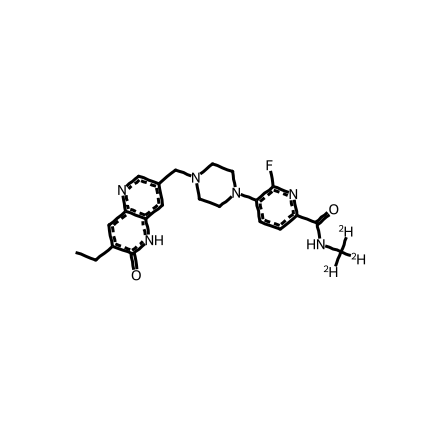 [2H]C([2H])([2H])NC(=O)c1ccc(N2CCN(Cc3cnc4cc(CC)c(=O)[nH]c4c3)CC2)c(F)n1